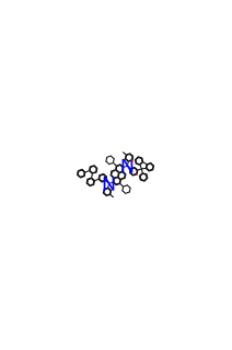 Cc1cccc(N(c2cccc(-c3ccccc3-c3ccccc3-c3ccccc3)c2)c2cc(C3CCCCC3)c3ccc4c(N(c5cccc(C)c5)c5cccc(C6(c7ccccc7)c7ccccc7-c7ccccc76)c5)cc(C5CCCCC5)c5ccc2c3c54)c1